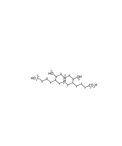 O=C(O)CCCCCCCCCCCC(=O)O.OCCNCCO